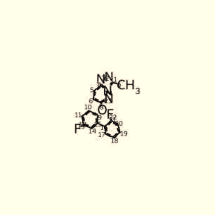 Cc1nnc2ccc(Oc3ccc(F)cc3-c3ccccc3F)nn12